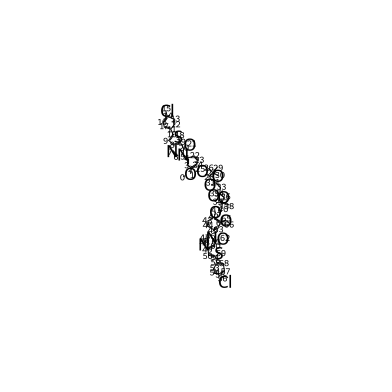 COc1cc(-n2cnc3cc(-c4ccc(Cl)cc4)sc3c2=O)ccc1OCC(C)(C)OC(=O)CC(=O)OC(C)(C)COc1ccc(-n2cnc3cc(-c4ccc(Cl)cc4)sc3c2=O)cc1OC